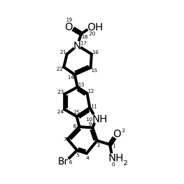 NC(=O)c1cc(Br)cc2c1[nH]c1cc(C3=CCN(C(=O)O)CC3)ccc12